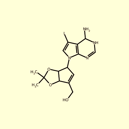 CC1(C)OC2C(CO)=CC(n3cc(I)c4c3N=CNC4N)C2O1